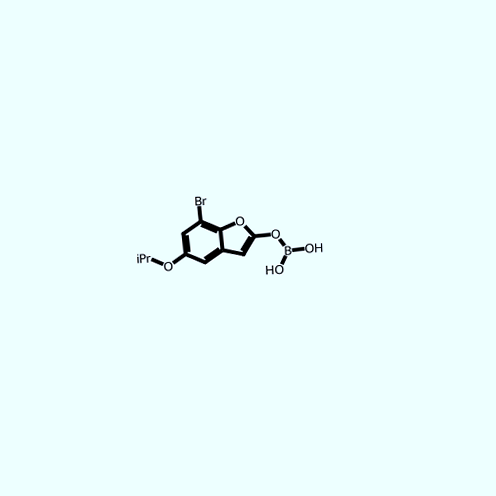 CC(C)Oc1cc(Br)c2oc(OB(O)O)cc2c1